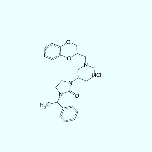 CC(c1ccccc1)N1CCN(C2CCCN(CC3COc4ccccc4O3)C2)C1=O.Cl